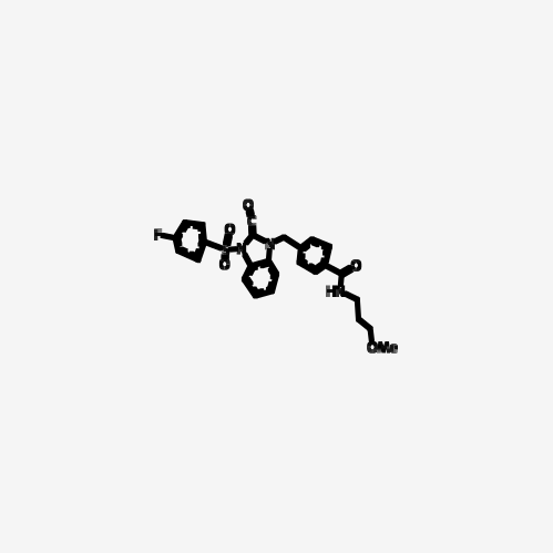 COCCCNC(=O)c1ccc(CN2C(=C=O)N(S(=O)(=O)c3ccc(F)cc3)c3ccccc32)cc1